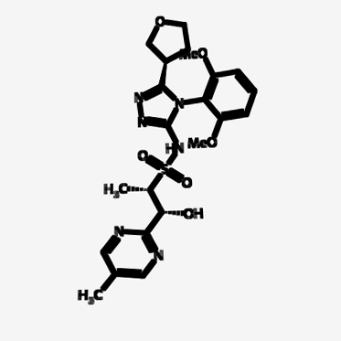 COc1cccc(OC)c1-n1c(NS(=O)(=O)[C@@H](C)[C@H](O)c2ncc(C)cn2)nnc1[C@@H]1CCOC1